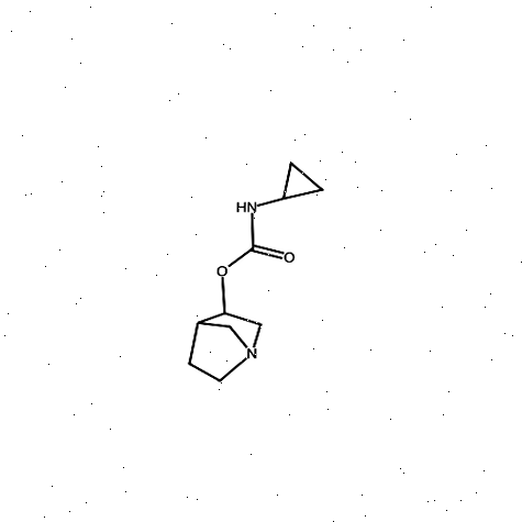 O=C(NC1CC1)OC1CN2CCC1C2